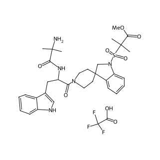 COC(=O)C(C)(C)S(=O)(=O)N1CC2(CCN(C(=O)C(Cc3c[nH]c4ccccc34)NC(=O)C(C)(C)N)CC2)c2ccccc21.O=C(O)C(F)(F)F